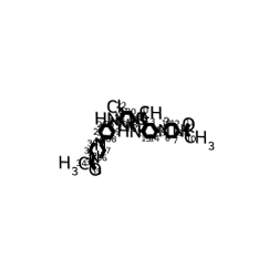 COc1cc(N2CCN(C(C)=O)CC2)ccc1Nc1ncc(Cl)c(Nc2ccc(N3CCN(C(C)=O)CC3)cc2)n1